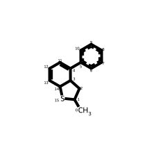 CC1CC2C(c3ccccc3)=CC=CC2S1